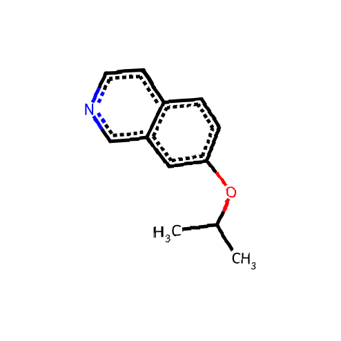 CC(C)Oc1ccc2ccncc2c1